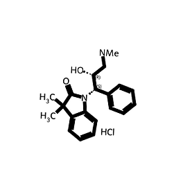 CNC[C@@H](O)[C@H](c1ccccc1)N1C(=O)C(C)(C)c2ccccc21.Cl